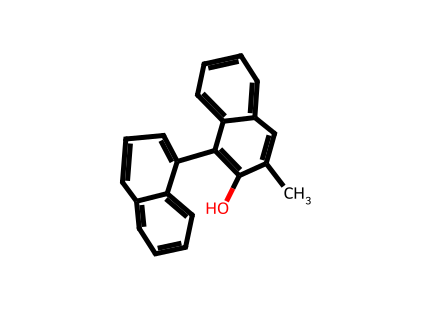 Cc1cc2ccccc2c(-c2cccc3ccccc23)c1O